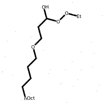 CCCCCCCCCCCCOCCC(O)OOCC